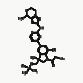 CC1OCCn2nc(Nc3nccc(-c4cc(C#N)c5c(c4)C(C)(CO[Si](C)(C)C(C)(C)C)CN5C(=O)OC(C)(C)C)n3)cc21